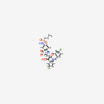 CCCCS(=O)(=O)Nc1ccc2c(c1)S(=O)(=O)C=C(c1c(O)c3cc(F)ccc3n(Cc3ccc(F)cc3)c1=O)N2